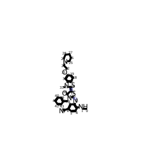 CCNc1ccc(C#N)cc1/N=C1/S/C(=C2\Sc3ccc(OCCN4CCCCC4)cc3N2C)C(=O)N1Cc1ccccc1